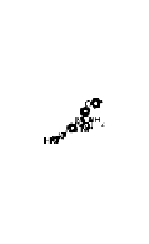 Cc1ccc(Oc2ccc(-c3nn(C4CCN(C5CN(C6CNC6)C5)CC4)c4ncnc(N)c34)cc2)cc1